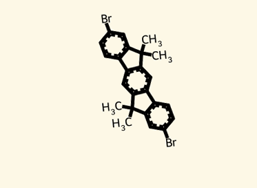 CC1(C)c2cc(Br)ccc2-c2cc3c(cc21)-c1ccc(Br)cc1C3(C)C